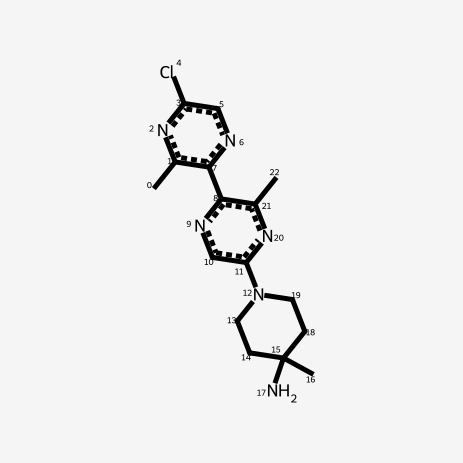 Cc1nc(Cl)cnc1-c1ncc(N2CCC(C)(N)CC2)nc1C